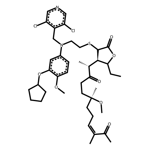 CCC1OC(=O)C(SCCN(Cc2c(Cl)cncc2Cl)c2ccc(OC)c(OC3CCCC3)c2)[C@@H]1[C@@H](C)C(=O)CC[C@](C)(CC/C=C(/C)C(C)=O)OC